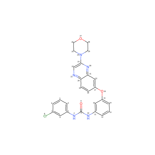 O=C(Nc1cccc(Cl)c1)Nc1cccc(Oc2ccc3ncc(N4CCOCC4)nc3c2)c1